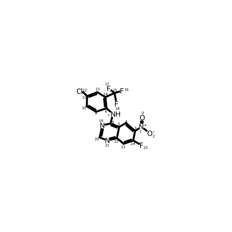 O=[N+]([O-])c1cc2c(Nc3ccc(Cl)cc3C(F)(F)F)ncnc2cc1F